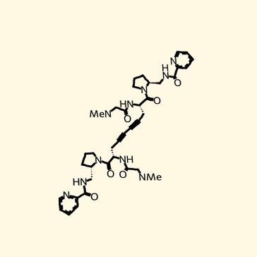 CNCC(=O)N[C@@H](CC#CC#CC[C@H](NC(=O)CNC)C(=O)N1CCC[C@H]1CNC(=O)c1ccccn1)C(=O)N1CCC[C@H]1CNC(=O)c1ccccn1